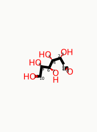 [O]=[In][C@@H](O)[C@@H](O)[C@@H](O)[C@H](O)CO